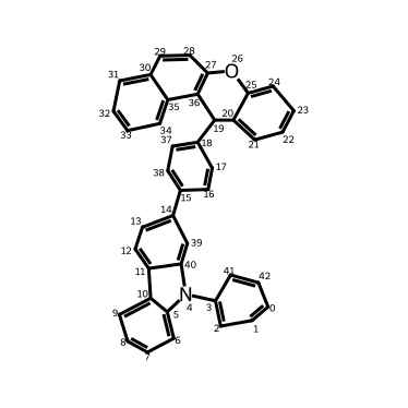 c1ccc(-n2c3ccccc3c3ccc(-c4ccc(C5c6ccccc6Oc6ccc7ccccc7c65)cc4)cc32)cc1